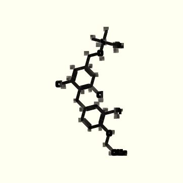 COCOc1ccc(Cc2c(Cl)cc(CO[Si](C)(C)C(C)(C)C)cc2Cl)cc1C(C)C